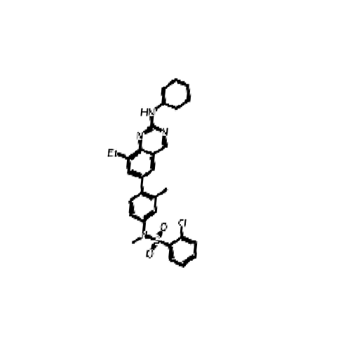 CCc1cc(-c2ccc(N(C)S(=O)(=O)c3ccccc3Cl)cc2C)cc2cnc(NC3CCCCC3)nc12